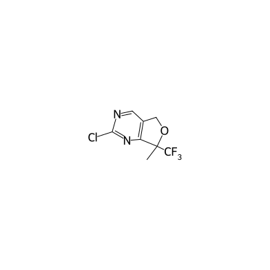 CC1(C(F)(F)F)OCc2cnc(Cl)nc21